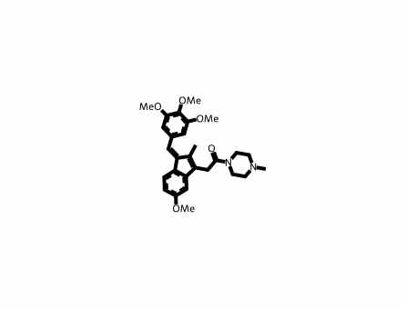 COc1ccc2c(c1)C(CC(=O)N1CCN(C)CC1)=C(C)C2=Cc1cc(OC)c(OC)c(OC)c1